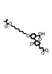 C=C(C)C(=O)OCCCCCCCCOc1ccc(C(=O)O)c(-c2ccc(/C=C/C(=O)OC)cc2OC)c1